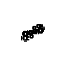 Cc1ccccc1C(=O)NNC(=O)c1ccccc1C